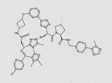 Cc1ncsc1-c1ccc(CNC(=O)[C@@H]2C[C@@H](C)CN2C(=O)[C@@H](C(C)C)n2cc(-c3cccc(OC4CC(NC(=O)C[C@@H]5N=C(c6ccc(Cl)cc6)c6c(sc(C)c6C)-n6c(C)nnc65)C4)c3)cn2)cc1